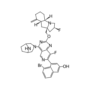 C=C1CCC[C@H]2[C@@H]1C[C@@]1(COc3nc(N4CC5CCC(C4)N5)c4cnc(-c5cc(O)cc6cccc(Br)c56)c(F)c4n3)C[C@H](F)CN21